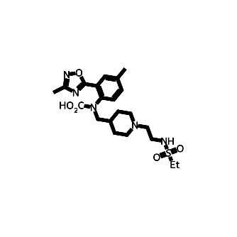 CCS(=O)(=O)NCCN1CCC(CN(C(=O)O)c2ccc(C)cc2-c2nc(C)no2)CC1